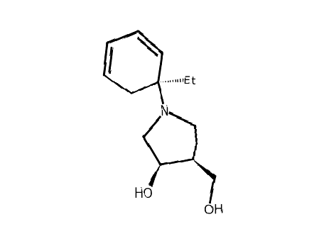 CC[C@@]1(N2C[C@@H](CO)[C@@H](O)C2)C=CC=CC1